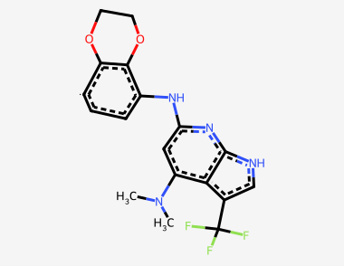 CN(C)c1cc(Nc2cc[c]c3c2OCCO3)nc2[nH]cc(C(F)(F)F)c12